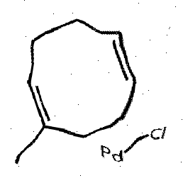 CC1=CCCC=CCC1.[Cl][Pd]